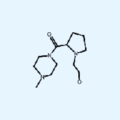 CN1CCN(C(=O)C2CCCN2CC[O])CC1